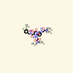 Cc1cc(CNC(=O)c2nc3n(c(=O)c2O)CC2(NCC(=O)N(C)C)CCC3(NC(=O)C(=O)N(C)C)CC2)ccc1F